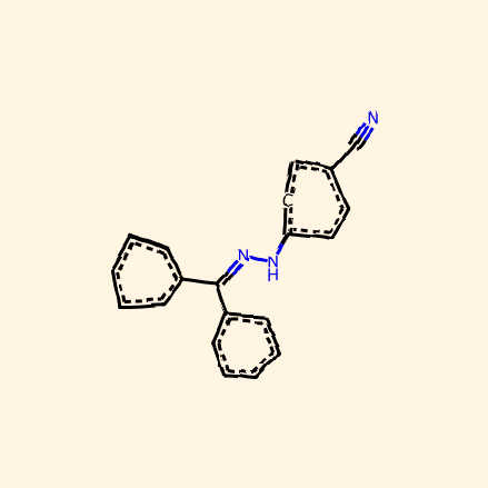 N#Cc1ccc(NN=C(c2ccccc2)c2ccccc2)cc1